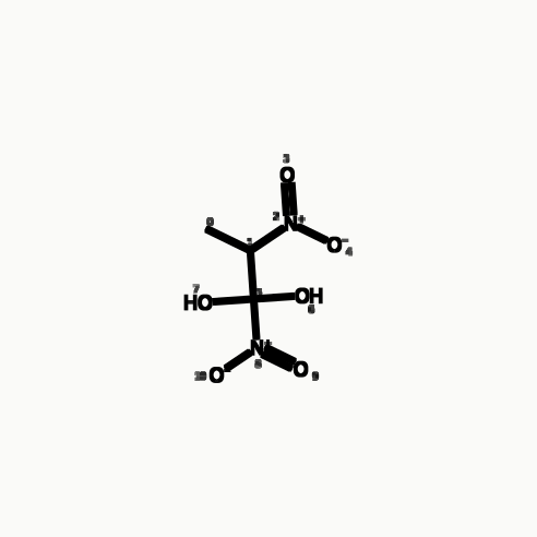 CC([N+](=O)[O-])C(O)(O)[N+](=O)[O-]